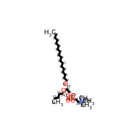 CCCCCCCCCCCCCCCCCCOC[C@H](COP(=O)([O-])OCC[N+](C)(C)C)OCCCCC